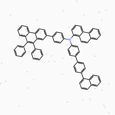 c1ccc(-c2c(-c3ccccc3)c3cc(-c4ccc(N(c5ccc(-c6ccc(-c7cccc8ccccc78)cc6)cc5)c5cccc6c5ccc5ccccc56)cc4)ccc3c3ccccc23)cc1